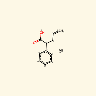 C=CCC(C(=O)O)c1ccccc1.[Ag]